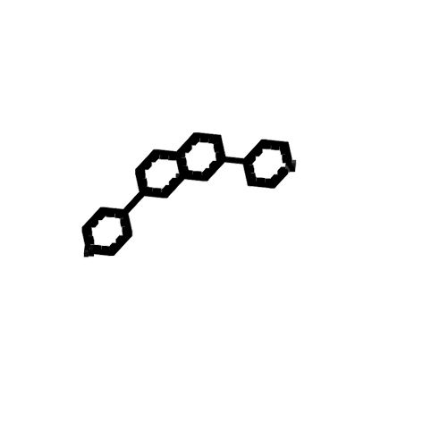 c1cc(-c2ccc3ccc(-c4ccncc4)cc3c2)ccn1